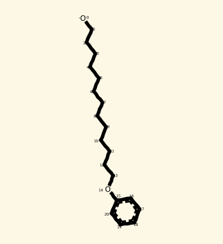 [O]CCCCCCCCCCCCCOc1ccccc1